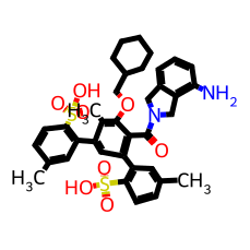 Cc1ccc(S(=O)(=O)O)c(-c2cc(-c3cc(C)ccc3S(=O)(=O)O)c(C(=O)N3Cc4cccc(N)c4C3)c(OCC3CCCCC3)c2C)c1